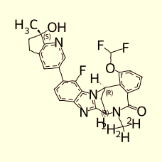 [2H]C([2H])([2H])N1C(=O)c2cccc(OC(F)F)c2[C@H]2C[C@@H]1c1nc3ccc(-c4cnc5c(c4)CC[C@]5(C)O)c(F)c3n12